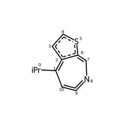 CC(C)C1=c2ccsc2=CN=C=C1